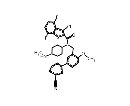 CN[C@H]1CC[C@@H](N(Cc2cc(-c3cccc(C#N)c3)ccc2OC)C(=O)c2sc3c(F)ccc(F)c3c2Cl)CC1